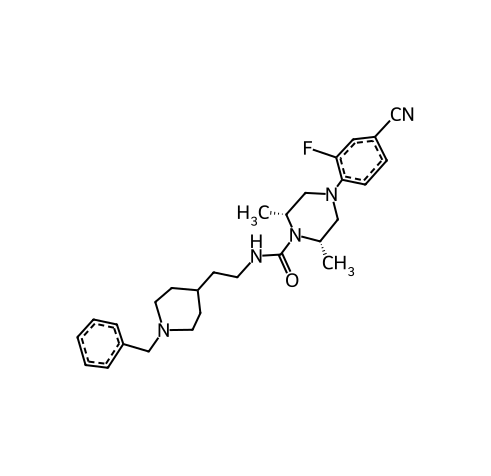 C[C@@H]1CN(c2ccc(C#N)cc2F)C[C@H](C)N1C(=O)NCCC1CCN(Cc2ccccc2)CC1